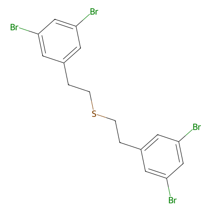 Brc1cc(Br)cc(CCSCCc2cc(Br)cc(Br)c2)c1